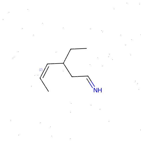 C/C=C\C(CC)CC=N